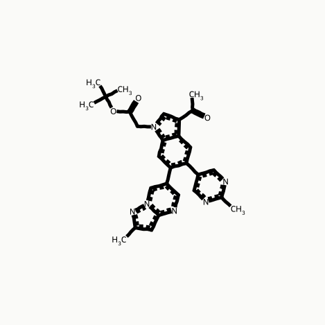 CC(=O)c1cn(CC(=O)OC(C)(C)C)c2cc(-c3cnc4cc(C)nn4c3)c(-c3cnc(C)nc3)cc12